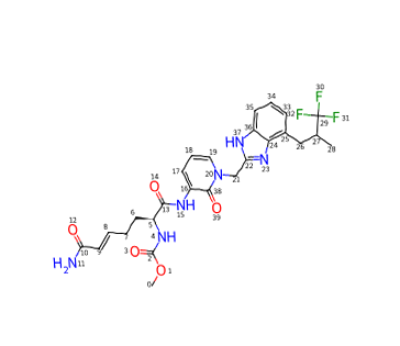 COC(=O)N[C@@H](CC/C=C/C(N)=O)C(=O)Nc1cccn(Cc2nc3c(CC(C)C(F)(F)F)cccc3[nH]2)c1=O